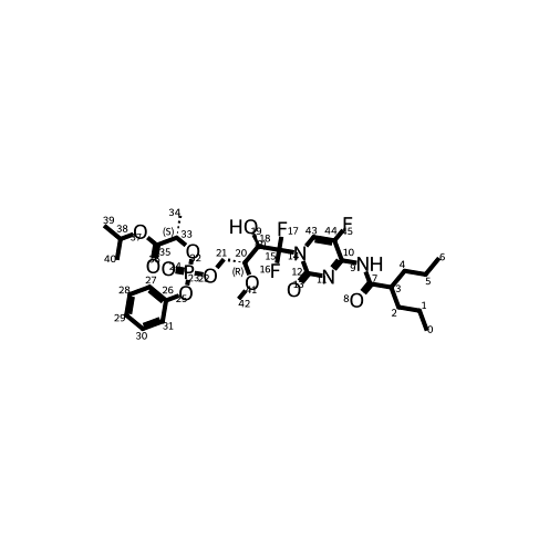 CCCC(CCC)C(=O)Nc1nc(=O)n(C(F)(F)[C@H](O)[C@@H](COP(=O)(Oc2ccccc2)O[C@@H](C)C(=O)OC(C)C)OC)cc1F